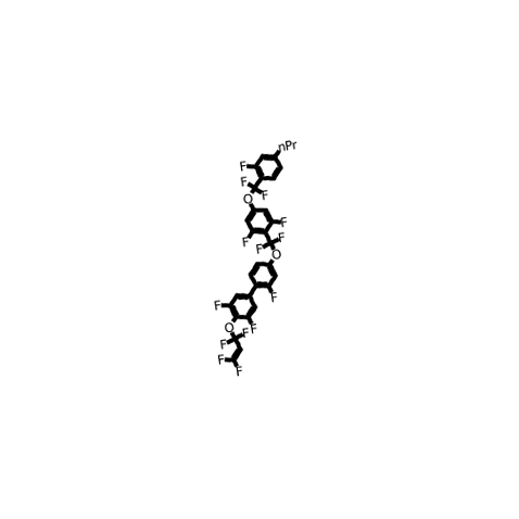 CCCc1ccc(C(F)(F)Oc2cc(F)c(C(F)(F)Oc3ccc(-c4cc(F)c(OC(F)(F)C=C(F)F)c(F)c4)c(F)c3)c(F)c2)c(F)c1